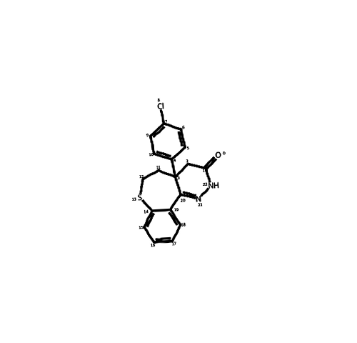 O=C1CC2(c3ccc(Cl)cc3)CCSc3ccccc3C2=NN1